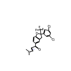 CN(C)/C=C/C(=O)c1ccc2c(c1)CC(c1cc(Cl)cc(Cl)c1)(C(F)(F)F)O2